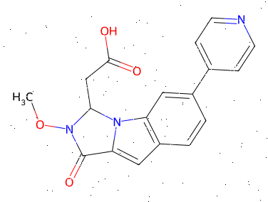 CON1C(=O)c2cc3ccc(-c4ccncc4)cc3n2C1CC(=O)O